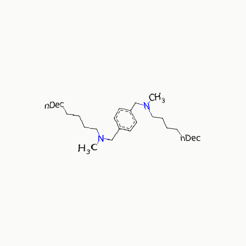 CCCCCCCCCCCCCCN(C)Cc1ccc(CN(C)CCCCCCCCCCCCCC)cc1